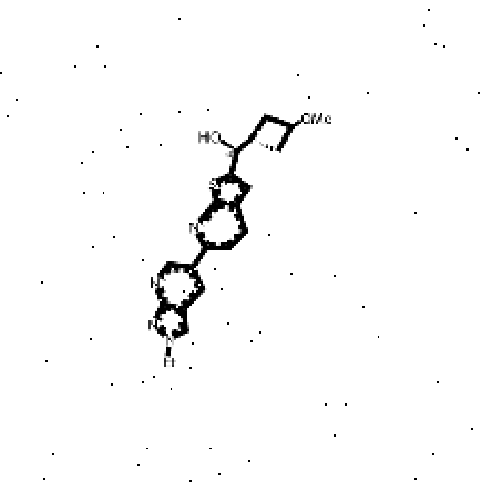 CCn1cc2cc(-c3ccc4cc([C@@H](O)[C@H]5C[C@H](OC)C5)sc4n3)cnc2n1